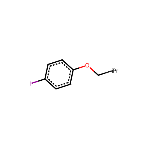 CC(C)COc1[c]cc(I)cc1